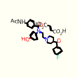 CC(=O)Nc1ccc(C(=O)N(CCN2CCC(C(=O)c3ccc(F)cc3)CC2)c2ccc(O)cc2)cc1.O=C(O)C=CC(=O)O